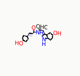 O=C[C@H](Cc1c[nH]c2ccc(O)cc12)NC(=O)/C=C/c1ccc(O)cc1